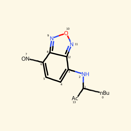 CCCCC(Nc1ccc(N=O)c2nonc12)C(C)=O